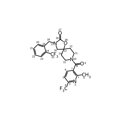 Cc1nc(C(F)(F)F)ccc1C(=O)N1CCC2(CC1)CN(Cc1ccccc1C(F)(F)F)C(=O)O2